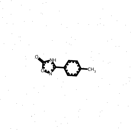 Cc1ccc(-c2noc(=O)[nH]2)cc1